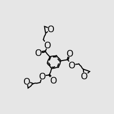 O=C(OCC1CO1)c1cc(C(=O)OCC2CO2)cc(C(=O)OCC2CO2)c1